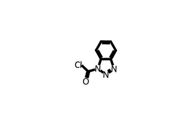 O=C(Cl)n1nnc2ccccc21